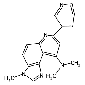 CN(C)c1cc(-c2cccnc2)nc2ccc3c(ncn3C)c12